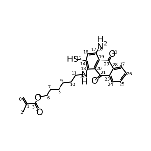 C=C(C)C(=O)OCCCCCCNc1c(S)cc(N)c2c1C(=O)c1ccccc1C2=O